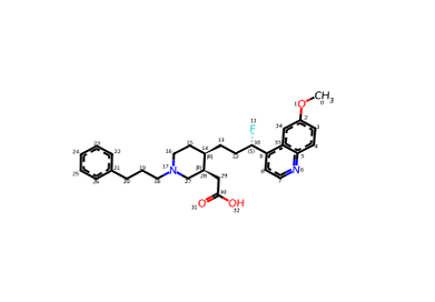 COc1ccc2nccc([C@@H](F)CC[C@@H]3CCN(CCCc4ccccc4)C[C@@H]3CC(=O)O)c2c1